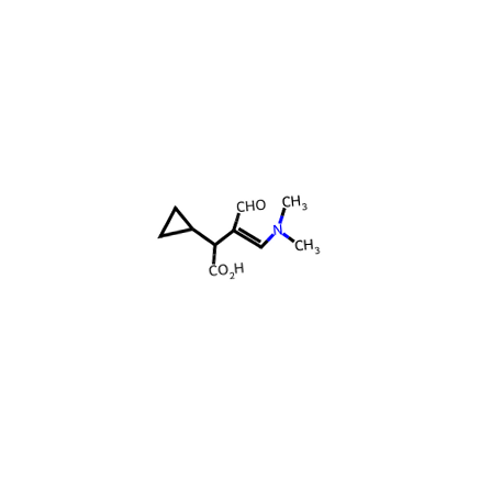 CN(C)/C=C(\C=O)C(C(=O)O)C1CC1